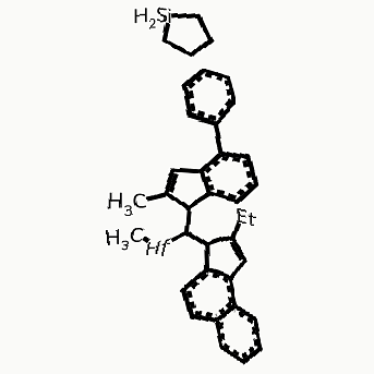 C1CC[SiH2]C1.CCC1=Cc2c(ccc3ccccc23)C1[CH]([Hf][CH3])C1C(C)=Cc2c(-c3ccccc3)cccc21